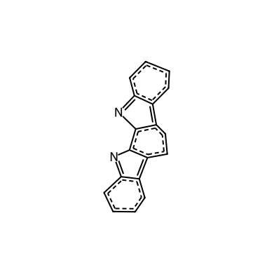 c1ccc2c(c1)=Nc1c3c(ccc1=2)=c1ccccc1=N3